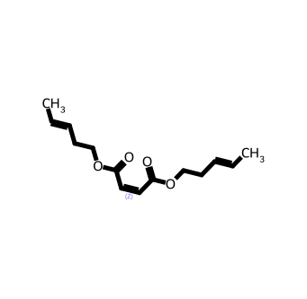 CC=CCCOC(=O)/C=C\C(=O)OCCC=CC